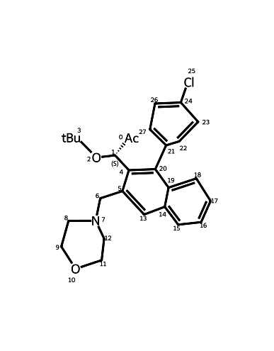 CC(=O)[C@@H](OC(C)(C)C)c1c(CN2CCOCC2)cc2ccccc2c1-c1ccc(Cl)cc1